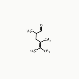 CC(C)=C(C)CC(C)C=O